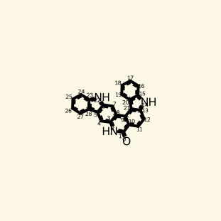 O=c1[nH]c2cc3c(cc2c2c1ccc1[nH]c4ccccc4c12)[nH]c1ccccc13